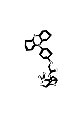 O=C(COc1ccc([S+]2c3ccccc3Sc3ccccc32)cc1)OC1C2CC3C(O2)C1OS3(=O)=O